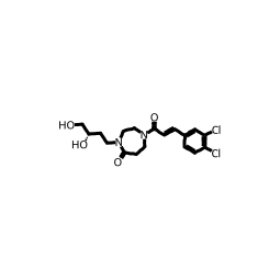 O=C(C=Cc1ccc(Cl)c(Cl)c1)N1CCC(=O)N(CC[C@H](O)CO)CC1